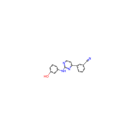 N#Cc1cccc(-c2ccnc(Nc3cccc(O)c3)n2)c1